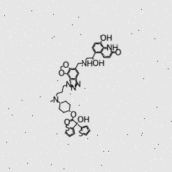 CN(CCCn1nnc2cc(CNC[C@H](O)c3ccc(O)c4[nH]c(=O)ccc34)c3c(c21)OCO3)C1CCC(OC(=O)C(O)(c2cccs2)c2cccs2)CC1